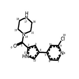 O=C(c1cc(-c2ccnc(Cl)c2)c[nH]1)N1CCNCC1